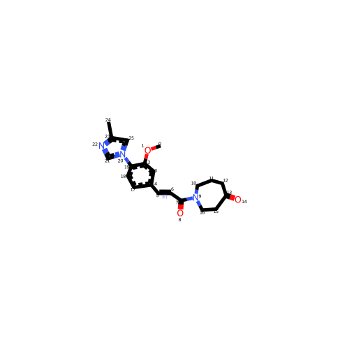 COc1cc(/C=C/C(=O)N2CCCC(=O)CC2)ccc1-n1cnc(C)c1